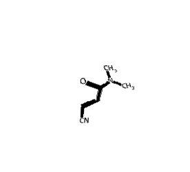 CN(C)C(=O)/C=C/C#N